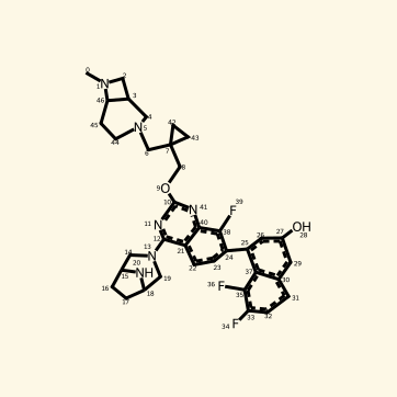 CN1CC2CN(CC3(COc4nc(N5CC6CCC(C5)N6)c5ccc(-c6cc(O)cc7ccc(F)c(F)c67)c(F)c5n4)CC3)CCC21